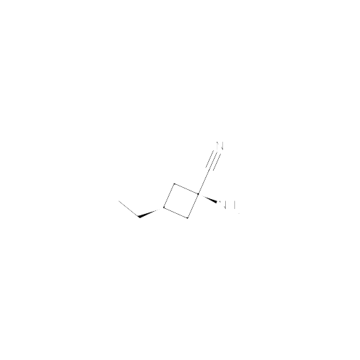 CC[C@H]1C[C@](N)(C#N)C1